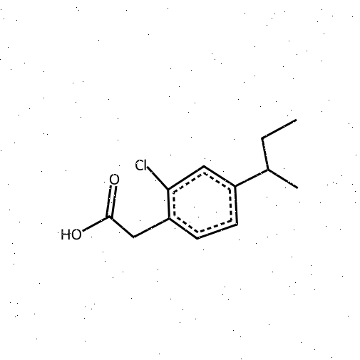 CCC(C)c1ccc(CC(=O)O)c(Cl)c1